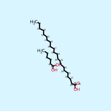 CCCCCC(O)O.CCCCCCCCCCCCCCCCCCCCCC(=O)O